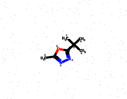 Cc1nnc(C(C)(C)C)o1